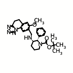 COc1cc2c(cc1CN[C@H]1CCCN(C(=O)OC(C)(C)C)[C@H]1c1ccccc1)-n1nnnc1CC2